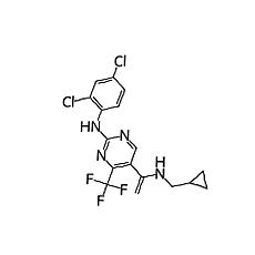 C=C(NCC1CC1)c1cnc(Nc2ccc(Cl)cc2Cl)nc1C(F)(F)F